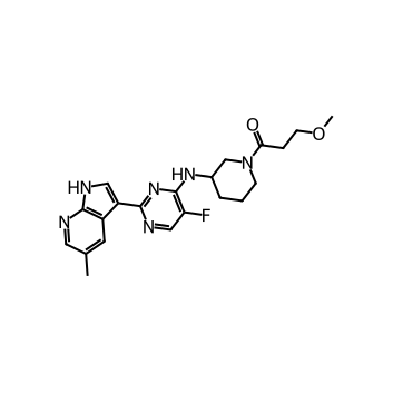 COCCC(=O)N1CCCC(Nc2nc(-c3c[nH]c4ncc(C)cc34)ncc2F)C1